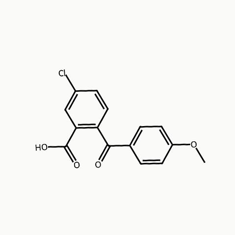 COc1ccc(C(=O)c2ccc(Cl)cc2C(=O)O)cc1